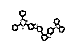 c1ccc(C2NC(c3ccccc3)NC(c3ccc4c(c3)oc3ccc(-c5cccc6oc7cc(-n8c9ccccc9c9ccccc98)ccc7c56)cc34)N2)cc1